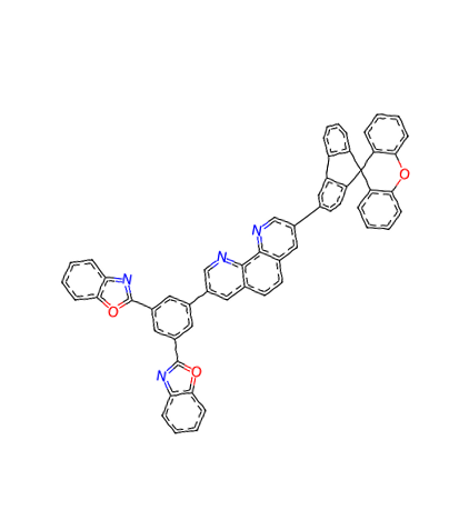 c1ccc2c(c1)Oc1ccccc1C21c2ccccc2-c2cc(-c3cnc4c(ccc5cc(-c6cc(-c7nc8ccccc8o7)cc(-c7nc8ccccc8o7)c6)cnc54)c3)ccc21